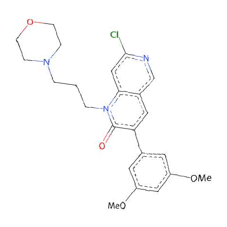 COc1cc(OC)cc(-c2cc3cnc(Cl)cc3n(CCCN3CCOCC3)c2=O)c1